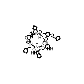 O=C1N[C@@H](Cc2ccc(OCc3ccccc3)cc2)C(=O)N2Cc3ccccc3C[C@H]2C(=O)N2CCOC[C@H]2C(=O)N[C@@H](CCc2ccccc2)C(=O)N[C@H](Cc2c[nH]c3ccccc23)C(=O)NC1CC1CCNCC1